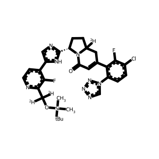 [2H]C([2H])(O[Si](C)(C)C(C)(C)C)c1nccc(-c2cnc([C@@H]3CCC4([2H])CC(c5c(-n6cnnn6)ccc(Cl)c5F)=CC(=O)N34)[nH]2)c1F